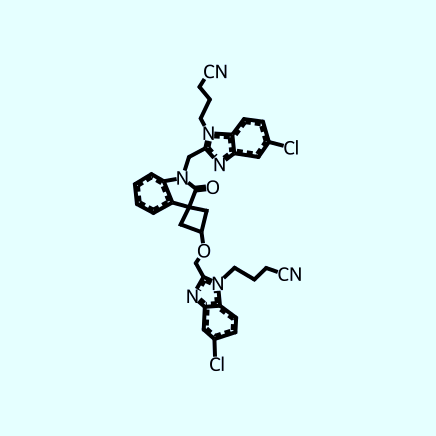 N#CCCCn1c(COC2CC3(C2)C(=O)N(Cc2nc4cc(Cl)ccc4n2CCCC#N)c2ccccc23)nc2cc(Cl)ccc21